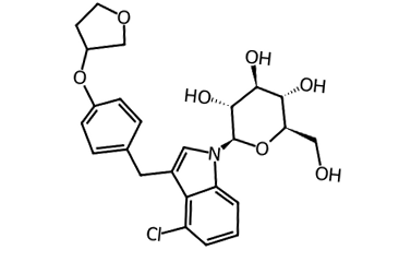 OC[C@H]1O[C@@H](n2cc(Cc3ccc(OC4CCOC4)cc3)c3c(Cl)cccc32)[C@H](O)[C@@H](O)[C@@H]1O